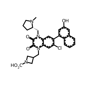 CN1CCC[C@H]1Cn1c(=O)c(=O)n(CC2CN(C(=O)O)C2)c2cc(Cl)c(-c3cc(O)cc4ccccc34)cc21